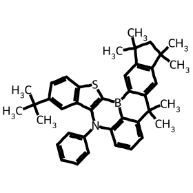 CC(C)(C)c1ccc2sc3c(c2c1)N(c1ccccc1)c1cccc2c1B3c1cc3c(cc1C2(C)C)C(C)(C)CC3(C)C